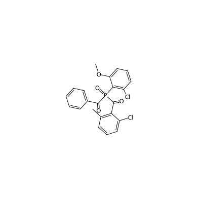 COc1cccc(Cl)c1P(=O)(C(=O)c1ccccc1)C(=O)c1c(C)cccc1Cl